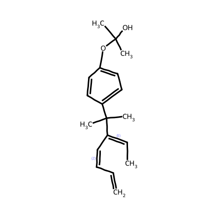 C=C/C=C\C(=C/C)C(C)(C)c1ccc(OC(C)(C)O)cc1